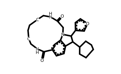 O=C1CN2c3cc(ccc3C(C3CCCCC3)C2c2ccoc2)C(=O)NCCCCCCN1